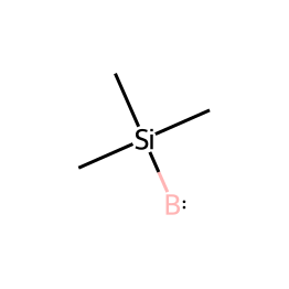 [B][Si](C)(C)C